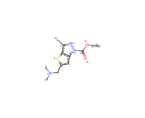 CN(C)Cc1cc2c(s1)c(I)nn2C(=O)OC(C)(C)C